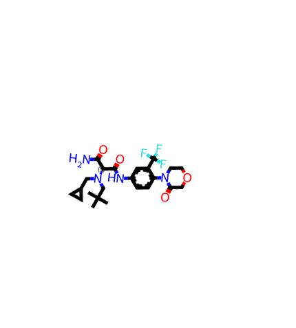 CC(C)(C)CN(CC1CC1)[C@@H](C(N)=O)C(=O)Nc1ccc(N2CCOCC2=O)c(C(F)(F)F)c1